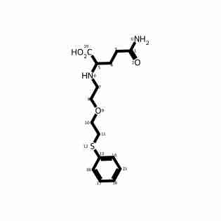 NC(=O)CCC(NCCOCCSc1ccccc1)C(=O)O